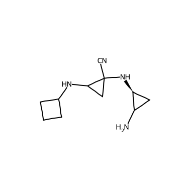 N#CC1(N[C@H]2CC2N)CC1NC1CCC1